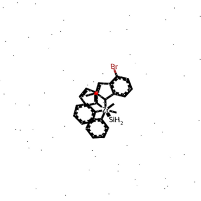 CC1=Cc2c(Br)cccc2[CH]1[Zr]([CH3])([CH3])(=[SiH2])([C]1=CC=CC1)([c]1ccccc1)[c]1ccccc1